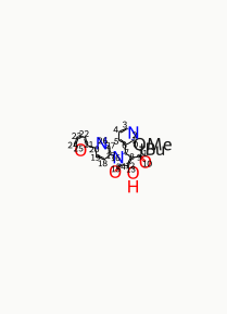 COc1ncccc1C1C(C(=O)C(C)(C)C)=C(O)C(=O)N1c1ccc(-c2ccco2)nc1